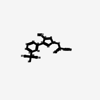 COC(=O)Cn1cc(C#N)c(-c2cccc(S(C)(=O)=O)c2)c1